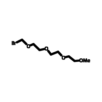 COCCOCCOCCOCBr